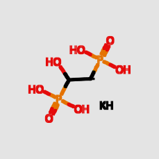 O=P(O)(O)[CH]C(O)P(=O)(O)O.[KH]